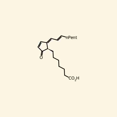 CCCCC/C=C/C=C1/C=CC(=O)[C@@H]1CCCCCCC(=O)O